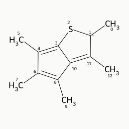 C[C]1SC2=C(C)C(C)=C(C)C2=C1C